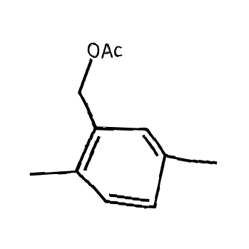 CC(=O)OCc1cc(C)ccc1C